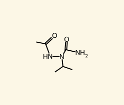 CC(=O)NN(C(N)=O)C(C)C